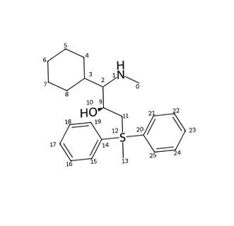 CNC(C1CCCCC1)[C@H](O)CS(C)(c1ccccc1)c1ccccc1